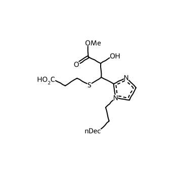 CCCCCCCCCCCCn1ccnc1C(SCCC(=O)O)C(O)C(=O)OC